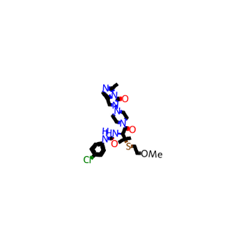 COCCSC(C)(C)[C@@H](NC(=O)Nc1ccc(Cl)cc1)C(=O)N1CCN(N2Cc3cnc(C)n3C2=O)CC1